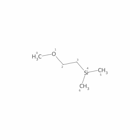 COCC[Si](C)C